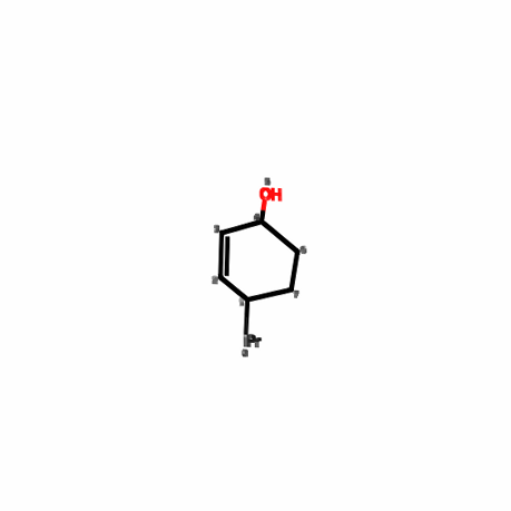 CC(C)C1C=CC(O)CC1